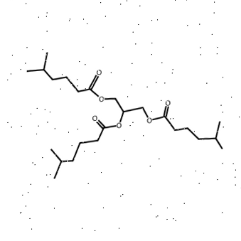 CC(C)CCCC(=O)OCC(COC(=O)CCCC(C)C)OC(=O)CCCC(C)C